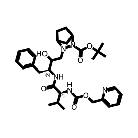 CC(C)[C@H](NC(=O)OCc1ccccn1)C(=O)N[C@@H](Cc1ccccc1)C(O)CN1C2CCC(C2)N1C(=O)OC(C)(C)C